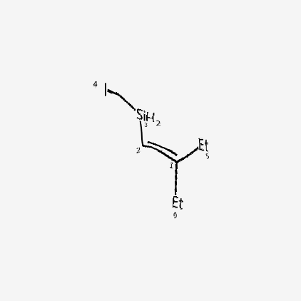 CCC(=C[SiH2]I)CC